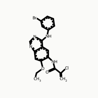 C=C(Cl)C(=O)Nc1cc2c(Nc3cccc(Br)c3)ncnc2cc1OCC